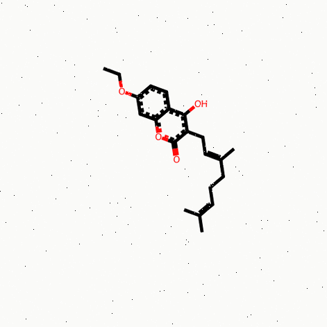 CCOc1ccc2c(O)c(C/C=C(\C)CCC=C(C)C)c(=O)oc2c1